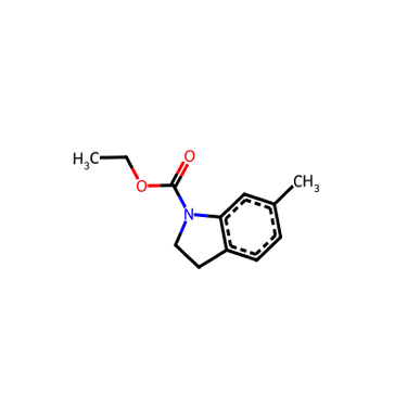 CCOC(=O)N1CCc2ccc(C)cc21